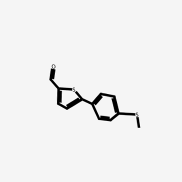 CSc1ccc(-c2ccc(C=O)s2)cc1